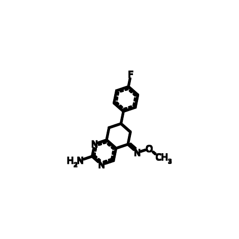 CON=C1CC(c2ccc(F)cc2)Cc2nc(N)ncc21